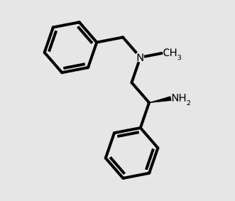 CN(Cc1ccccc1)C[C@@H](N)c1ccccc1